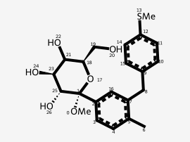 CO[C@@]1(c2ccc(C)c(Cc3ccc(SC)cc3)c2)O[C@H](CO)C(O)[C@H](O)[C@H]1O